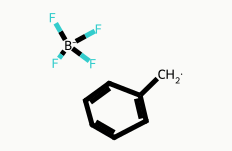 F[B-](F)(F)F.[CH2]c1ccccc1